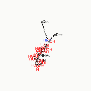 CCCCCCCCCCCCC/C=C/[C@@H](O)[C@H](CO[C@@H]1OC(CO)[C@@H](O[C@@H]2OC(CO)[C@H](O)[C@H](O[C@@H]3OC(CO)[C@@H](O)[C@H](O[C@@H]4OC(CO)[C@H](O)[C@H](O[C@]5(C(=O)O)CC(O)[C@@H](O)C([C@H](O)[C@H](O)CO)O5)C4O)C3NC(C)=O)C2O)[C@H](O)C1O)NC(=O)CCCCCCCCCCCCCCCCCCCCCCC